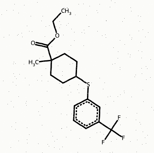 CCOC(=O)C1(C)CCC(Sc2cccc(C(F)(F)F)c2)CC1